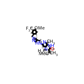 COc1ccc(Cn2cc(CNc3cc4c(c(C)n3)NC(=O)[C@H]([C@@H](C)OC)N4C)cn2)cc1C(F)(F)F